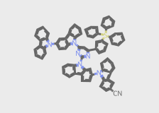 N#Cc1ccc2c(c1)c1ccccc1n2-c1ccc2c3ccccc3n(-c3nc(-c4cccc(S(c5ccccc5)(c5ccccc5)c5ccccc5)c4)cc(-n4c5ccccc5c5cc(-n6c7ccccc7c7ccccc76)ccc54)n3)c2c1